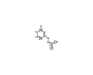 CN1C=C(CC=S(=O)=O)N=CC1